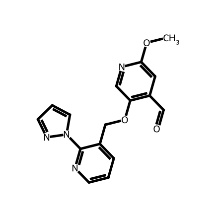 COc1cc(C=O)c(OCc2cccnc2-n2cccn2)cn1